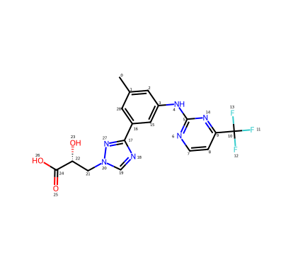 Cc1cc(Nc2nccc(C(F)(F)F)n2)cc(-c2ncn(C[C@@H](O)C(=O)O)n2)c1